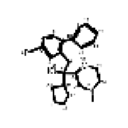 OC(Cc1cc(F)ccc1-c1ccccc1)(C1CCCC1)C1CNCCO1